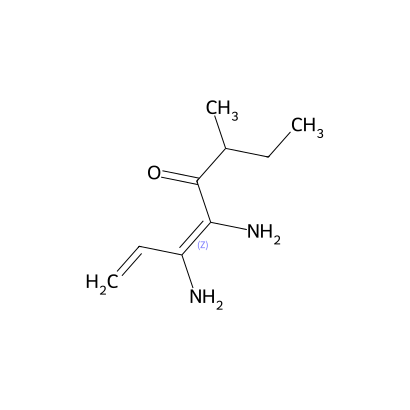 C=C/C(N)=C(/N)C(=O)C(C)CC